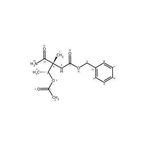 CC(=O)O[C@H](C)[C@@](C)(NC(=O)OCc1ccccc1)C(N)=O